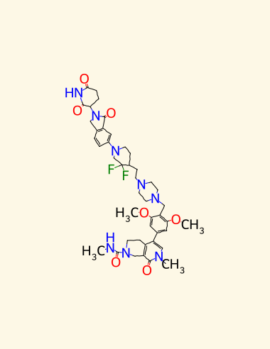 CNC(=O)N1CCc2c(-c3cc(OC)c(CN4CCN(CCC5CCN(c6ccc7c(c6)C(=O)N(C6CCC(=O)NC6=O)C7)CC5(F)F)CC4)c(OC)c3)cn(C)c(=O)c2C1